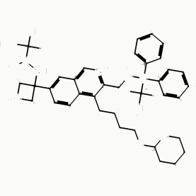 CC(C)(C)[S+]([O-])NC1(c2ccc3c(CCCCOC4CCCCO4)c(CO[Si](c4ccccc4)(c4ccccc4)C(C)(C)C)ncc3c2)COC1